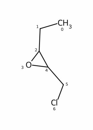 CCC1OC1CCl